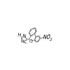 N#CC(N)C1Oc2ccc([N+](=O)[O-])cc2-c2ccccc21